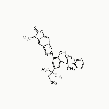 Cn1c(=S)oc2cc3nn(-c4cc(C(C)(C)CC(C)(C)C)cc(C(C)(C)c5ccccc5)c4O)nc3cc21